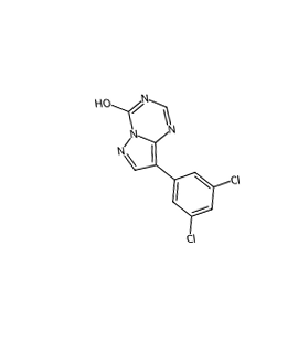 Oc1ncnc2c(-c3cc(Cl)cc(Cl)c3)cnn12